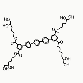 O=C(OCCCCC(O)CO)c1cc(C(=O)OCCCCC(O)CO)cc(-c2ccc(-c3ccc(-c4ccc(-c5cc(C(=O)OCCCCC(O)CO)cc(C(=O)OCCCCC(O)CO)c5)cc4)cc3)cc2)c1